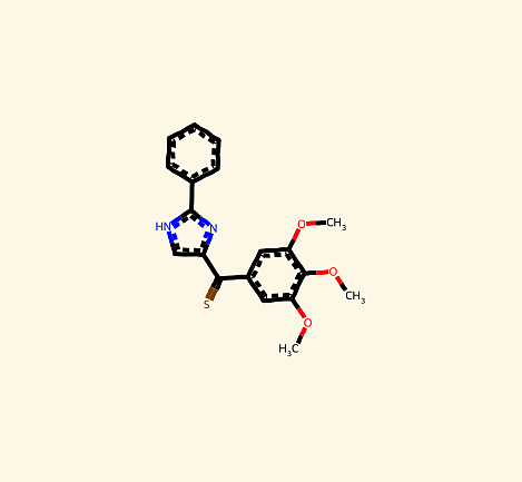 COc1cc(C(=S)c2c[nH]c(-c3ccccc3)n2)cc(OC)c1OC